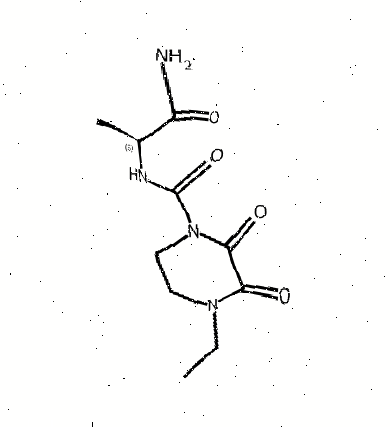 CCN1CCN(C(=O)N[C@@H](C)C(N)=O)C(=O)C1=O